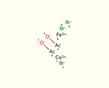 CC(=O)[O-].CC(=O)[O-].[Br-].[Br-].[Br-].[Co+2].[Fe+3]